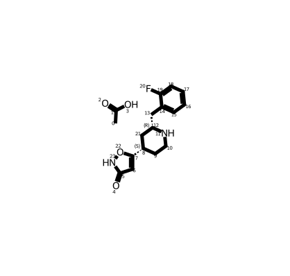 CC(=O)O.O=c1cc([C@H]2CCN[C@@H](Cc3ccccc3F)C2)o[nH]1